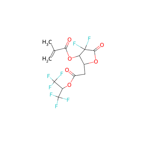 C=C(C)C(=O)OC1C(CC(=O)OC(C(F)(F)F)C(F)(F)F)OC(=O)C1(F)F